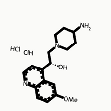 COc1ccc2nccc([C@@H](O)CN3CCC(N)CC3)c2c1.Cl.Cl